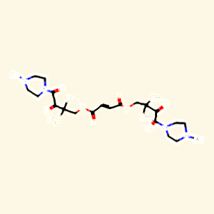 CC(=O)N1CCN(C(=O)C(=O)C(C)(C)COC(=O)/C=C/C(=O)OCC(C)(C)C(=O)C(=O)N2CCN(C(C)=O)CC2)CC1